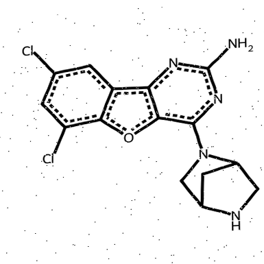 Nc1nc(N2CC3CC2CN3)c2oc3c(Cl)cc(Cl)cc3c2n1